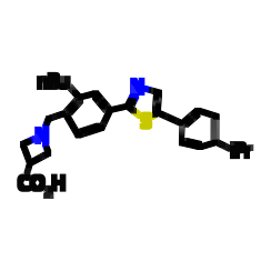 CCCCc1cc(-c2ncc(-c3ccc(C(C)C)cc3)s2)ccc1CN1CC(C(=O)O)C1